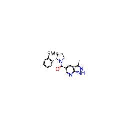 CSc1ccccc1[C@@H]1CCCN1C(=O)c1cnc2[nH]nc(C)c2c1